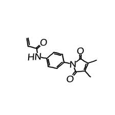 C=CC(=O)Nc1ccc(N2C(=O)C(C)=C(C)C2=O)cc1